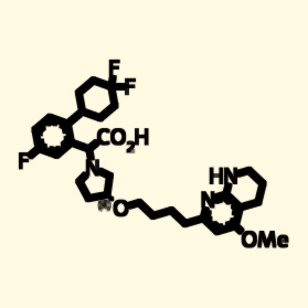 COc1cc(CCCCO[C@@H]2CCN(C(C(=O)O)c3cc(F)ccc3C3CCC(F)(F)CC3)C2)nc2c1CCCN2